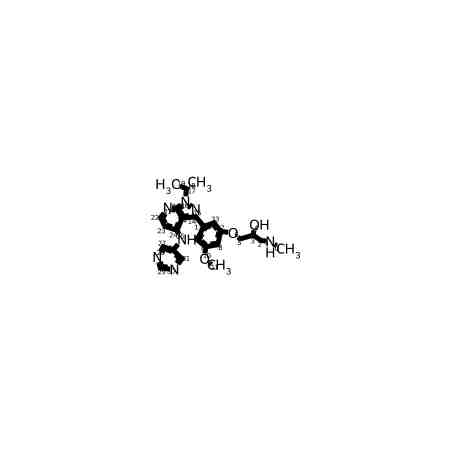 CNCC(O)COc1cc(OC)cc(-c2nn(C(C)C)c3nccc(Nc4cncnc4)c23)c1